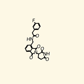 O=C(Cc1cccc(F)c1)NCc1cccc2c1C(=O)N(C1CCC(=O)NC1=O)C2=O